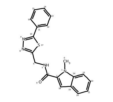 Cn1c(C(=O)NCc2nnc(-c3ccccc3)s2)cc2ccccc21